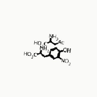 CC(=O)CC(N)C(=O)O.NC(Cc1ccc(O)c([N+](=O)[O-])c1)C(=O)O